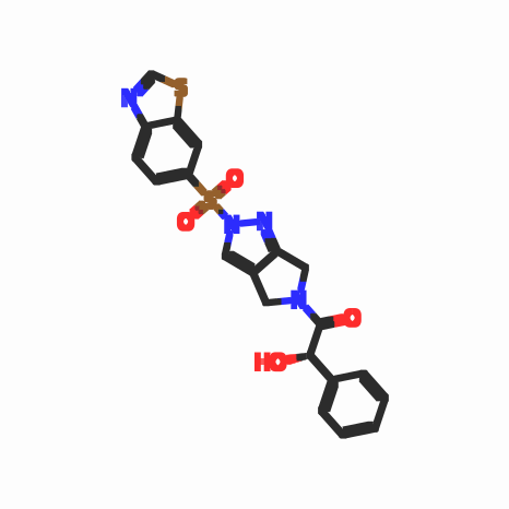 O=C([C@H](O)c1ccccc1)N1Cc2cn(S(=O)(=O)c3ccc4ncsc4c3)nc2C1